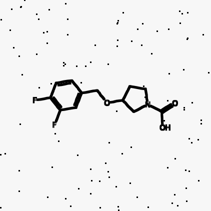 O=C(O)N1CCC(OCc2ccc(F)c(F)c2)C1